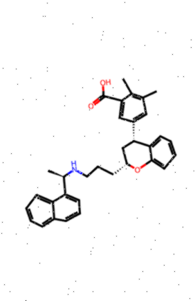 Cc1cc([C@H]2C[C@@H](CCCN[C@H](C)c3cccc4ccccc34)Oc3ccccc32)cc(C(=O)O)c1C